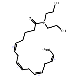 CCCCC/C=C\C/C=C\C/C=C\C/C=C\CCCC(=O)N(CCO)CCO